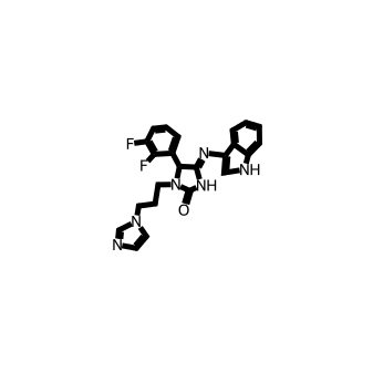 O=C1N/C(=N\c2c[nH]c3ccccc23)C(c2cccc(F)c2F)N1CCCn1ccnc1